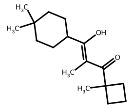 C/C(C(=O)C1(C)CCC1)=C(/O)C1CCC(C)(C)CC1